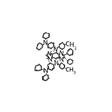 Cc1ccc(N(c2ccc(N(c3ccccc3)c3ccccc3)cc2)c2c3nsnc3c(N(c3ccc(C)cc3)c3ccc(N(c4ccccc4)c4ccccc4)cc3)c3nc(-c4ccccc4)c(-c4ccccc4)nc23)cc1